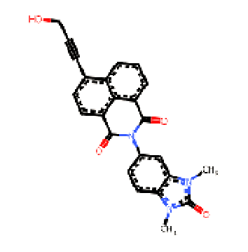 Cn1c(=O)n(C)c2cc(N3C(=O)c4cccc5c(C#CCO)ccc(c45)C3=O)ccc21